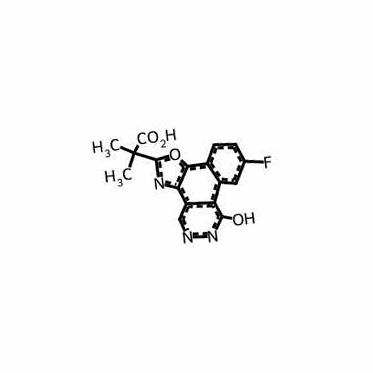 CC(C)(C(=O)O)c1nc2c3cnnc(O)c3c3cc(F)ccc3c2o1